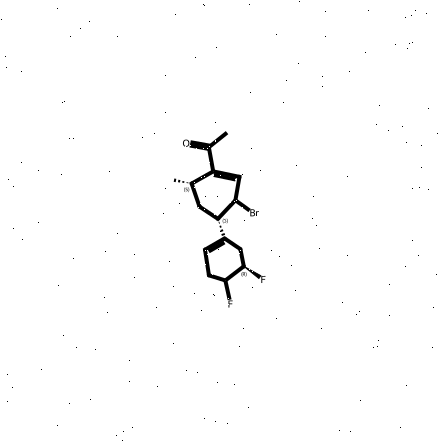 CC(=O)C1=CC(Br)[C@H](C2=CCC(F)[C@H](F)C2)C[C@@H]1C